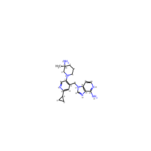 C[C@@]1(N)CCCN(c2cnc(C3CC3)cc2Cn2cnc3c(N)nccc32)C1